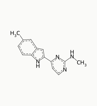 CNc1nccc(-c2cc3cc(C)ccc3[nH]2)n1